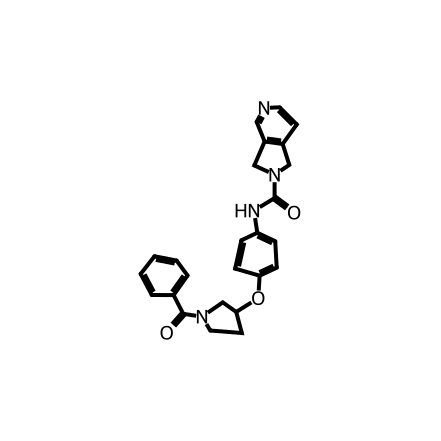 O=C(Nc1ccc(OC2CCN(C(=O)c3ccccc3)C2)cc1)N1Cc2ccncc2C1